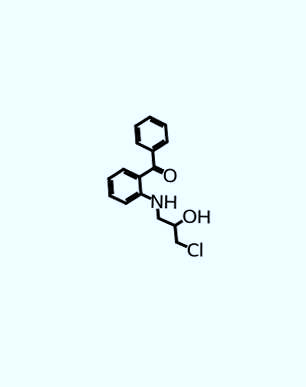 O=C(c1ccccc1)c1ccccc1NCC(O)CCl